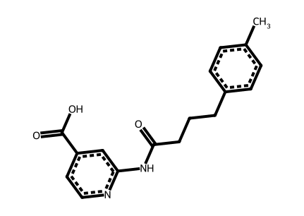 Cc1ccc(CCCC(=O)Nc2cc(C(=O)O)ccn2)cc1